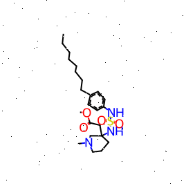 CCCCCCCCc1ccc(NS(=O)(=O)NC2(CC(=O)OC)CCCN(C)C2)cc1